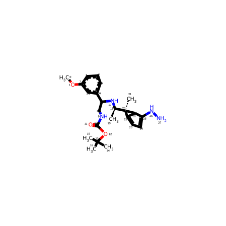 COc1cccc(C(CNC(=O)OC(C)(C)C)N[C@H](C)[C@]2(C)C3=CC=C(NN)C32)c1